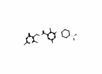 Cc1cc(=O)c(CNC(=O)c2cc(Cl)cc(O[C@H]3CC[C@H](N(C)C)CC3)c2C)c(C)[nH]1